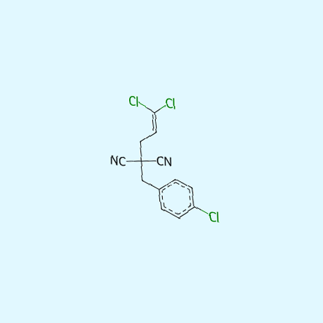 N#CC(C#N)(CC=C(Cl)Cl)Cc1ccc(Cl)cc1